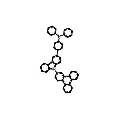 c1ccc(N(c2ccccc2)c2ccc(-c3ccc4c(c3)c3ccccc3n4-c3ccc4c5ccccc5c5ccccc5c4c3)cc2)cc1